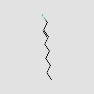 CCCCCCC=CCF